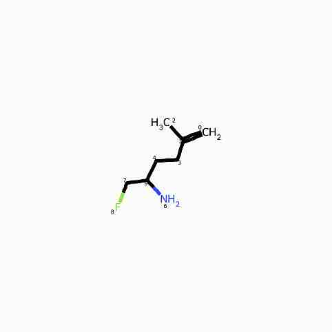 C=C(C)CCC(N)CF